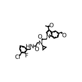 CC(=O)c1cn(CC(=O)N(CC(=O)NCc2cccc(Cl)c2F)C2CC2)c2ccc(C=O)cc12